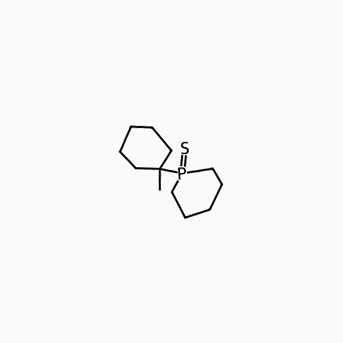 CC1(P2(=S)CCCCC2)CCCCC1